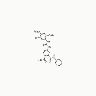 COc1cc(OC)c(NC(=S)Nc2ccc(C(N)=O)c(C(=O)Nc3ccccc3)c2)cc1Cl